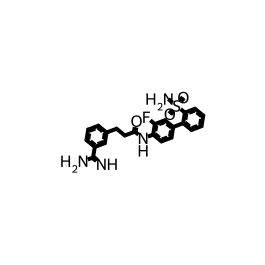 N=C(N)c1cccc(CCC(=O)Nc2ccc(-c3ccccc3S(N)(=O)=O)cc2F)c1